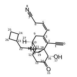 C#CC1=C(/C=C\CC#N)C[C@H]2[C@H]3CCC(=O)[C@@H](O)[C@@]13CCN2CC1CCC1